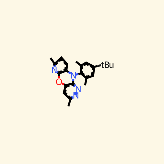 Cc1cc2c(nn1)N(c1c(C)cc(C(C)(C)C)cc1C)c1ccc(C)nc1O2